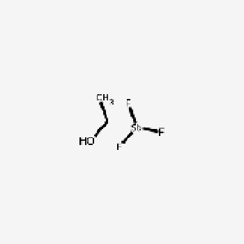 CCO.[F][Sb]([F])[F]